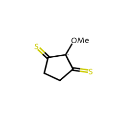 CO[C]1C(=S)CCC1=S